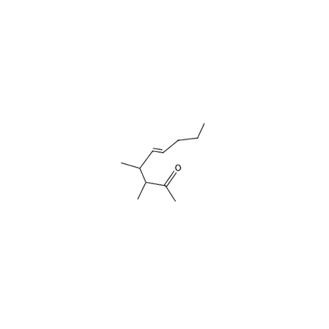 CCC/C=C/C(C)C(C)C(C)=O